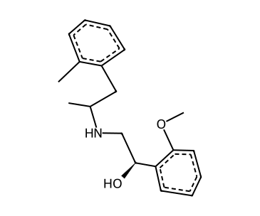 COc1ccccc1[C@@H](O)CNC(C)Cc1ccccc1C